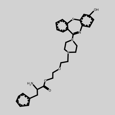 NC(Cc1ccccc1)C(=O)OCCOCCN1CCN(C2=Nc3ccc(O)cc3Sc3ccccc32)CC1